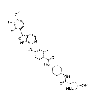 COc1ccc(-c2cnc3c(Nc4ccc(C(=O)N[C@H]5CC[C@H](NC(=O)[C@@H]6C[C@@H](O)CN6)CC5)c(C)c4)nccn23)c(F)c1F